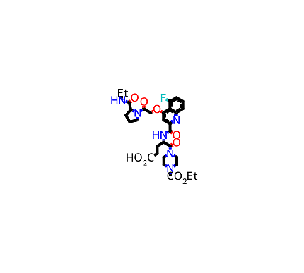 CCNC(=O)C1CCCN1C(=O)COc1cc(C(=O)NC(CCC(=O)O)C(=O)N2CCN(C(=O)OCC)CC2)nc2cccc(F)c12